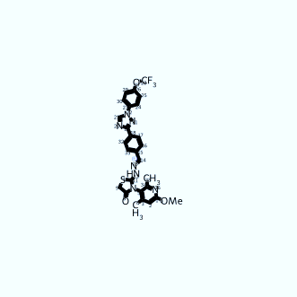 COc1cc(C)c(N2C(=O)CSC2N/N=C/c2ccc(-c3ncn(-c4ccc(OC(F)(F)F)cc4)n3)cc2)c(C)n1